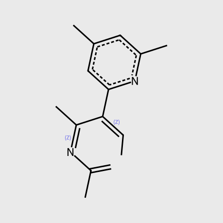 C=C(C)/N=C(C)\C(=C/C)c1cc(C)cc(C)n1